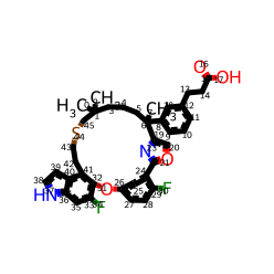 CC1(C)CCCC(C)(c2cccc(CCC(=O)O)c2)c2coc(n2)-c2cc(ccc2F)Oc2c(F)cc3[nH]ccc3c2CCSC1